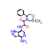 C[C@@H]1CN(C(=O)C(=O)Nc2cnc(N)c3cn[nH]c23)[C@@H](c2ccccc2)CO1